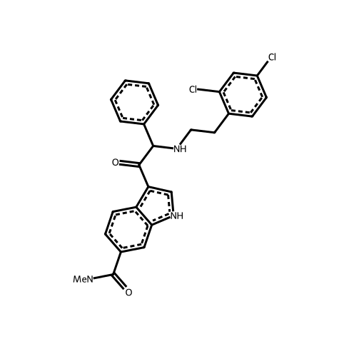 CNC(=O)c1ccc2c(C(=O)C(NCCc3ccc(Cl)cc3Cl)c3ccccc3)c[nH]c2c1